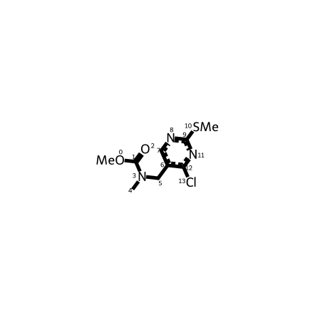 COC(=O)N(C)Cc1cnc(SC)nc1Cl